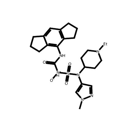 CCN1CCC(N(c2cnn(C)c2)S(=O)(=O)[NH+]([O-])C(=O)Nc2c3c(cc4c2CCC4)CCC3)CC1